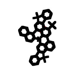 CC(C)(C)c1ccc(N(c2ccc3c(c2)-c2ccccc2C3(C)C)c2ccc3ccccc3c2-c2ccc3c(c2)C(C)(C)c2ccccc2-3)c(-c2ccccc2)c1